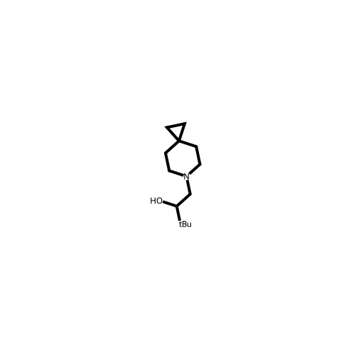 CC(C)(C)C(O)CN1CCC2(CC1)CC2